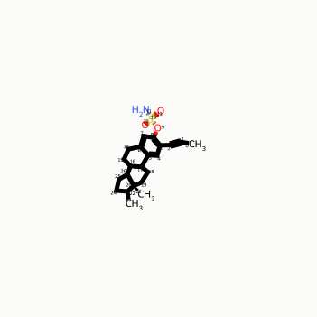 CC#Cc1cc2c(cc1OS(N)(=O)=O)CCC1C2CC[C@]2(C)C(C)CCC12